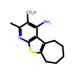 Cc1nc2sc3c(c2c(N)c1C(=O)O)CCCCC3